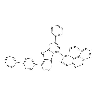 c1ccc(-c2ccc(-c3cccc4c3oc3cc(-c5ccccc5)cc(-c5ccc6ccc7cccc8ccc5c6c78)c34)cc2)cc1